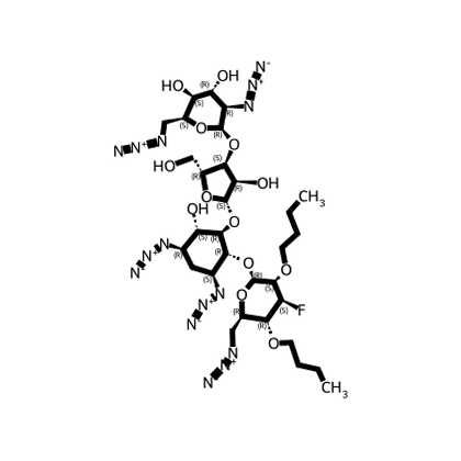 CCCCO[C@H]1[C@@H](O[C@H]2[C@H](O[C@@H]3O[C@H](CO)[C@@H](O[C@H]4O[C@@H](CN=[N+]=[N-])[C@@H](O)[C@H](O)[C@H]4N=[N+]=[N-])[C@H]3O)[C@@H](O)[C@H](N=[N+]=[N-])C[C@@H]2N=[N+]=[N-])O[C@H](CN=[N+]=[N-])[C@@H](OCCCC)[C@@H]1F